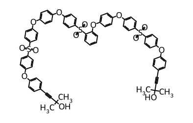 CC(C)(O)C#Cc1ccc(Oc2ccc(S(=O)(=O)c3ccc(Oc4ccc(Oc5ccc(S(=O)(=O)c6ccccc6Oc6ccc(Oc7ccc(S(=O)(=O)c8ccc(Oc9ccc(C#CC(C)(C)O)cc9)cc8)cc7)cc6)cc5)cc4)cc3)cc2)cc1